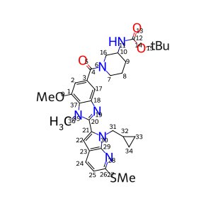 COc1cc(C(=O)N2CCCC(NC(=O)OC(C)(C)C)C2)cc2nc(-c3cc4ccc(SC)nc4n3CC3CC3)n(C)c12